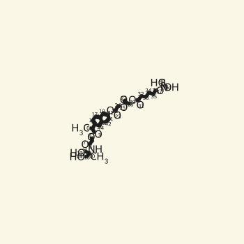 CC(C(=O)OCC(=O)NC(C)(CO)CO)c1ccc2cc(OC(=O)COC(=O)COC(=O)CCCCCON(O)O)ccc2c1